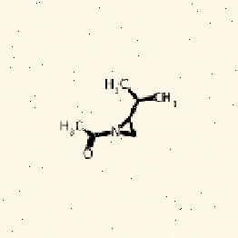 CC(=O)N1CC1C(C)C